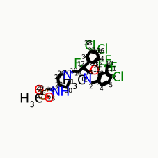 CN(Cc1ccc(Cl)c(C(F)(F)F)c1)C(=O)C(F)(CCN1CCC(NCS(C)(=O)=O)CC1)c1ccc(Cl)c(Cl)c1